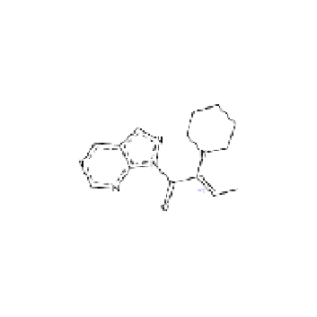 C/C=C(/C(=O)n1ncc2cncnc21)N1CCCCC1